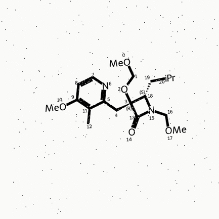 COCO[C@@]1(Cc2nccc(OC)c2C)C(=O)N(COC)[C@H]1CC(C)C